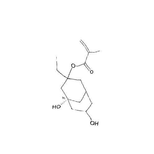 C=C(C)C(=O)OC1(CC)CC2CC(O)C[C@](O)(C2)C1